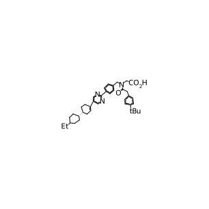 CC[C@H]1CC[C@H](C2CC=C(c3cnc(-c4ccc(CN(CC(=O)O)C(=O)Cc5ccc(C(C)(C)C)cc5)cc4)nc3)CC2)CC1